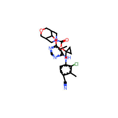 Cc1c(Nc2ccc(C#N)c(C)c2Cl)ncnc1OC1C2COCC1CN(C(=O)OC1(C)CC1)C2